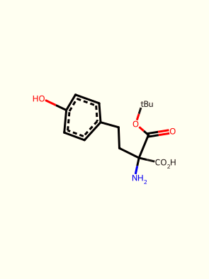 CC(C)(C)OC(=O)C(N)(CCc1ccc(O)cc1)C(=O)O